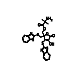 CC(C)(N)C(=O)OCC1(CSc2nc3ccccc3s2)OC(=O)C(O)=C1Sc1nc2ccccc2s1